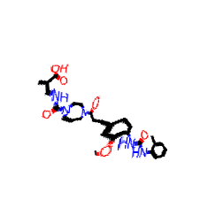 COc1cc(CCC(=O)N2CCCN(C(=O)NCC(C)C(=O)O)CC2)ccc1NC(=O)Nc1ccccc1C